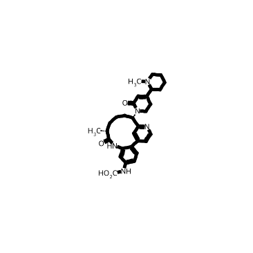 C[C@@H]1CCC[C@H](N2CCC(C3CCCCN3C)=CC2=O)c2cc(ccn2)-c2ccc(NC(=O)O)cc2NC1=O